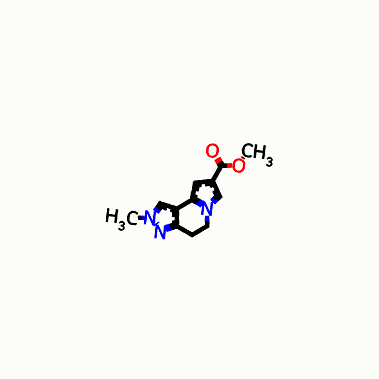 COC(=O)c1cc2n(c1)CCc1nn(C)cc1-2